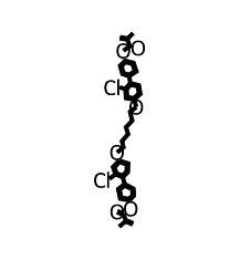 C=C(C)C(=O)Oc1ccc(-c2ccc(OCCCCCCOc3ccc(-c4ccc(OC(=O)C(=C)C)cc4)c(Cl)c3)cc2Cl)cc1